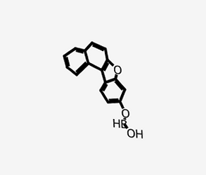 OBOc1ccc2c(c1)oc1ccc3ccccc3c12